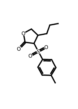 CCCC1COC(=O)C1S(=O)(=O)c1ccc(C)cc1